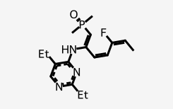 C\C=C(F)/C=C\C(=C\P(C)(C)=O)Nc1nc(CC)ncc1CC